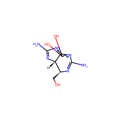 NC1=N[C@H]2[C@H](CO)N=C(N)N3CCC(O)(O)[C@]23N1